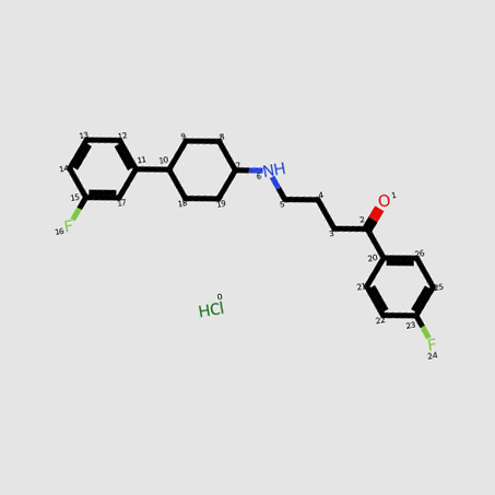 Cl.O=C(CCCNC1CCC(c2cccc(F)c2)CC1)c1ccc(F)cc1